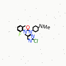 CN[C@H]1CC[C@@H](N2C(=O)N(c3c(C)cccc3F)Cc3cnc(Cl)nc32)CC1